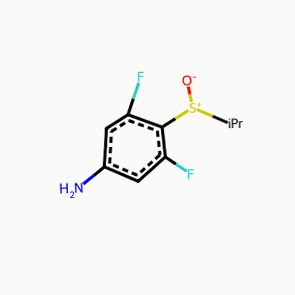 CC(C)[S+]([O-])c1c(F)cc(N)cc1F